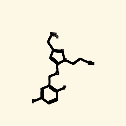 CC(C)(C)CCn1nc(CN)cc1OCc1cc(F)ccc1F